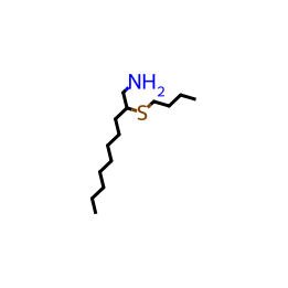 CCCCCCCCC(CN)SCCCC